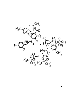 CC1=NO[C@@]2(CC[C@H](C)N3C[C@H]2n2cc(C(=O)NCc4ccc(F)cc4F)c(=O)c(OCOC(=O)CC(C)(C)c4c(CC(=O)N[C@@H](CCC(=O)OC(C)(C)C)C(=O)OC(C)(C)C)cc(C)cc4OP(=O)(O)O)c2C3=O)C1